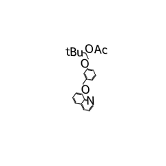 CC(=O)OC(COc1cccc(COc2cccc3cccnc23)c1)C(C)(C)C